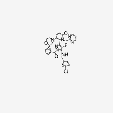 O=C(c1cccs1)n1nc(-c2c(N3CCOCC3)ccc(=O)n2Cc2ncccn2)c(F)c1NCc1ccc(Cl)s1